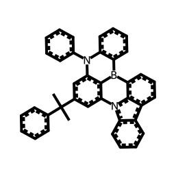 CC(C)(c1ccccc1)c1cc2c3c(c1)-n1c4ccccc4c4cccc(c41)B3c1ccccc1N2c1ccccc1